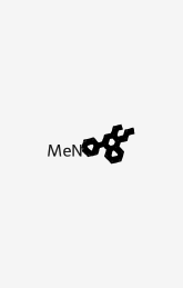 C=C/C=c1\c(=C/C)cc(-c2ccc(NC)cc2)c2ccccc12